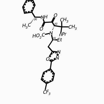 CCCC(C)(C)[C@@H](C(=O)C(=O)N[C@H](C)c1ccccc1)N(C(=O)O)[C@@H](CC)Cc1nnc(-c2ccc(C(F)(F)F)cc2)o1